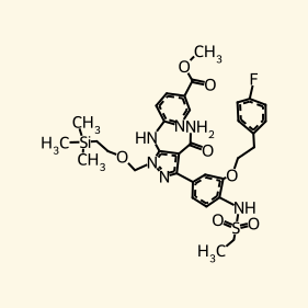 CCS(=O)(=O)Nc1ccc(-c2nn(COCC[Si](C)(C)C)c(Nc3ccc(C(=O)OC)cn3)c2C(N)=O)cc1OCCc1ccc(F)cc1